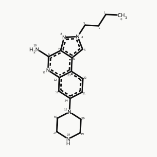 CCCCn1cc2c(n1)c(N)nc1cc(N3CCNCC3)ccc12